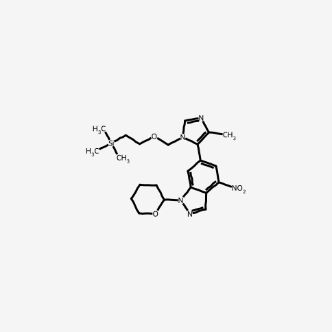 Cc1ncn(COCC[Si](C)(C)C)c1-c1cc([N+](=O)[O-])c2cnn(C3CCCCO3)c2c1